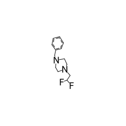 FC(F)CN1CCN(Cc2ccccc2)CC1